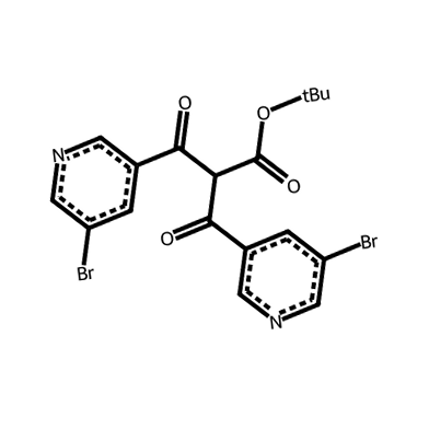 CC(C)(C)OC(=O)C(C(=O)c1cncc(Br)c1)C(=O)c1cncc(Br)c1